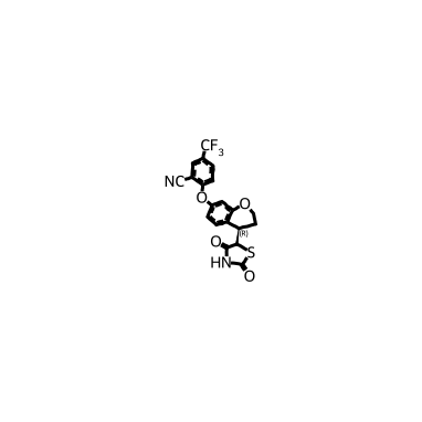 N#Cc1cc(C(F)(F)F)ccc1Oc1ccc2c(c1)OCC[C@H]2C1SC(=O)NC1=O